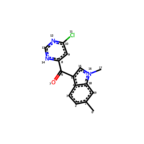 Cc1ccc2c(C(=O)c3cc(Cl)ncn3)cn(C)c2c1